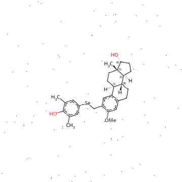 COc1cc2c(cc1C[Se]c1cc(C)c(O)c(C)c1)[C@H]1CC[C@]3(C)[C@H](O)CC[C@H]3[C@@H]1CC2